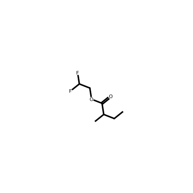 CCC(C)C(=O)OCC(F)F